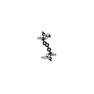 C=C1C[C@@H](c2nc(-c3ccc(-c4ccc5cc(-c6c[nH]c([C@@H]7CC(=C)CN7C(=O)OC(C)(C)C)n6)ccc5c4)cc3)c[nH]2)N(C(=O)O)C1